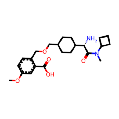 COc1ccc(COCC2CCC([C@H](N)C(=O)N(C)C3CCC3)CC2)c(C(=O)O)c1